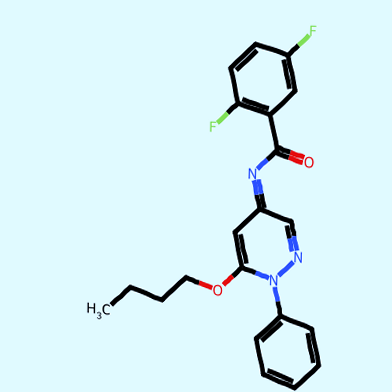 CCCCOc1cc(=NC(=O)c2cc(F)ccc2F)cnn1-c1ccccc1